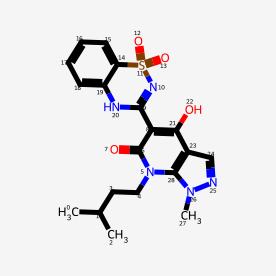 CC(C)CCn1c(=O)c(C2=NS(=O)(=O)c3ccccc3N2)c(O)c2cnn(C)c21